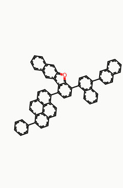 c1ccc(-c2ccc3ccc4c(-c5ccc(-c6ccc(-c7ccc8ccccc8c7)c7ccccc67)c6oc7cc8ccccc8cc7c56)ccc5ccc2c3c54)cc1